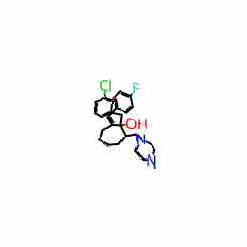 CN1CCN(CC2CCCC/C(=C/c3ccc(F)cc3)C2(O)Cc2cccc(Cl)c2)CC1